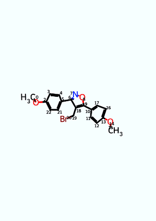 COc1ccc(-c2noc(-c3ccc(OC)cc3)c2CBr)cc1